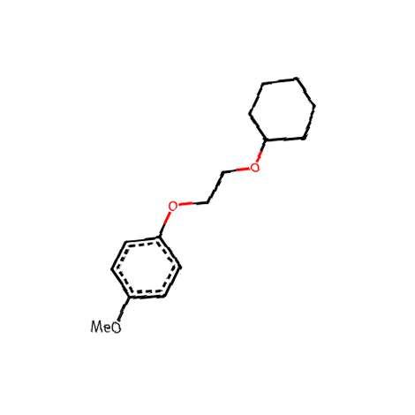 COc1ccc(OCCOC2CCCCC2)cc1